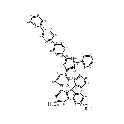 Cc1ccc([Si]2(c3ccc(C)cc3)c3ccccc3-c3c(-c4nc(-c5ccccc5)nc(-c5ccc(-c6ccc(-c7ccccc7)cc6)cc5)n4)cccc32)cc1